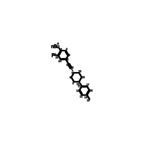 CCCCc1ccc(C#C[C@H]2CC[C@H](c3ccc(C)cc3)CC2)cc1F